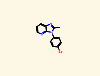 Cc1nc2cccnc2n1-c1ccc(O)cc1